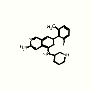 Cc1cccc(F)c1C1C=c2cnc(N)cc2=C(NC2CCCNC2)C1